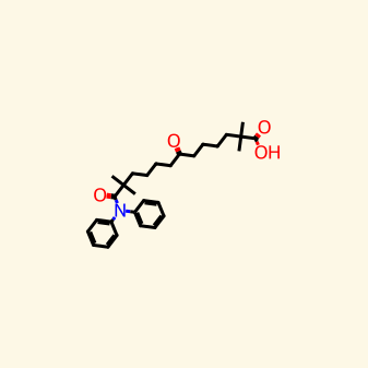 CC(C)(CCCCC(=O)CCCCC(C)(C)C(=O)N(c1ccccc1)c1ccccc1)C(=O)O